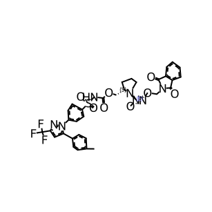 Cc1ccc(-c2cc(C(F)(F)F)nn2-c2ccc(S(=O)(=O)NC(=O)OC[C@@H]3CCCN3/[N+]([O-])=N\OCN3C(=O)c4ccccc4C3=O)cc2)cc1